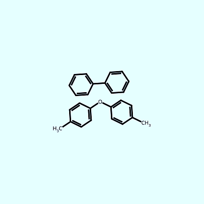 Cc1ccc(Oc2ccc(C)cc2)cc1.c1ccc(-c2ccccc2)cc1